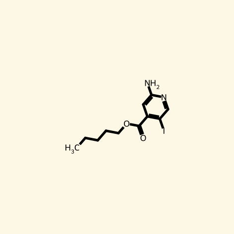 CCCCCOC(=O)c1cc(N)ncc1I